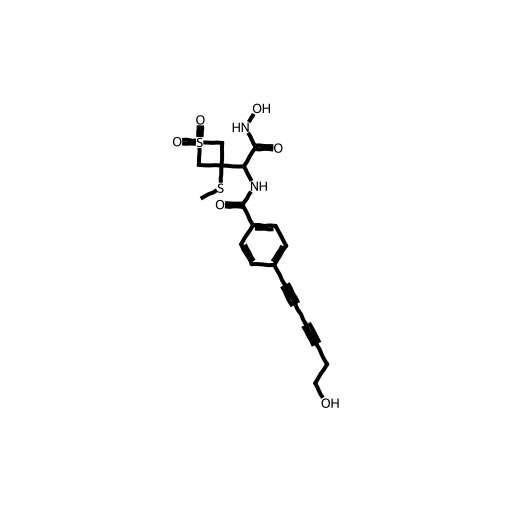 CSC1(C(NC(=O)c2ccc(C#CC#CCCO)cc2)C(=O)NO)CS(=O)(=O)C1